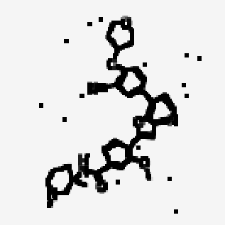 COc1cc(C(=O)NC2(C)CCCN(C)C2)ccc1-c1cc2nccc(-c3ccc(OC4CCOCC4)c(C#N)c3)c2o1